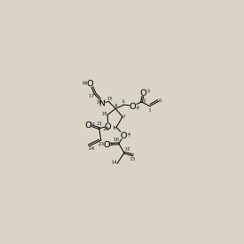 C=CC(=O)OCC(CCOC(=O)C(=C)C)(CN=C=O)COC(=O)C=C